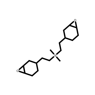 C[Si](C)(CCC1CCC2OC2C1)CCC1CCC2OC2C1